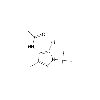 CC(=O)Nc1c(C)nn(C(C)(C)C)c1Cl